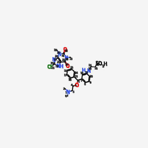 CN(C)CCOC(c1ccccc1)c1ccccc1.Cn1c(=O)c2[nH]c(Cl)nc2n(C)c1=O.NCCS(=O)(=O)O